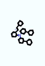 C(=C\c1ccccc1N(c1cccc(-c2ccccc2)c1)c1cccc(-c2ccccc2)c1)/c1ccccc1